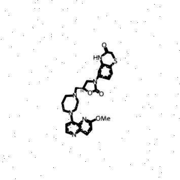 COc1ccc2nccc(N3CCCN(C[C@H]4CN(c5ccc6c(c5)NC(=O)CS6)C(=O)O4)CC3)c2n1